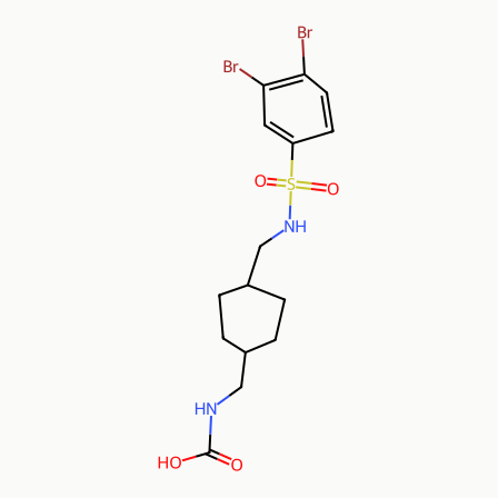 O=C(O)NCC1CCC(CNS(=O)(=O)c2ccc(Br)c(Br)c2)CC1